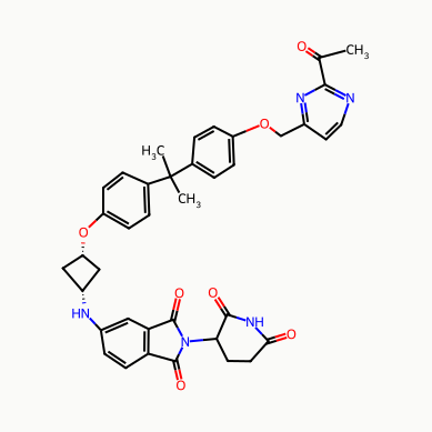 CC(=O)c1nccc(COc2ccc(C(C)(C)c3ccc(O[C@H]4C[C@@H](Nc5ccc6c(c5)C(=O)N(C5CCC(=O)NC5=O)C6=O)C4)cc3)cc2)n1